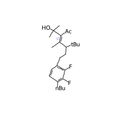 CCCCc1ccc(CCC(/C(C)=C(\C(C)=O)C(C)(C)O)C(C)(C)C)c(F)c1F